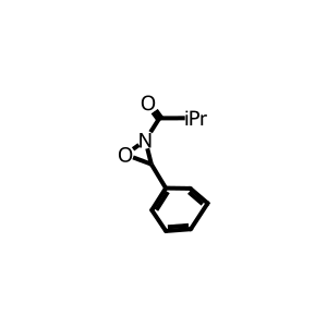 CC(C)C(=O)N1OC1c1ccccc1